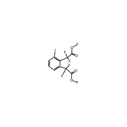 O=C(OF)C(F)(F)c1cccc(I)c1C(F)(F)C(=O)OF